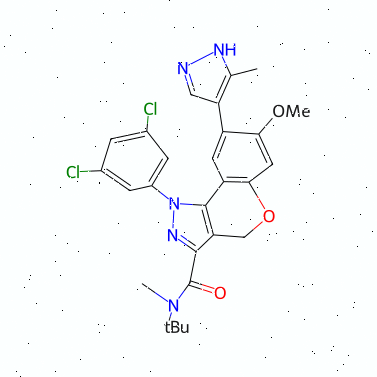 COc1cc2c(cc1-c1cn[nH]c1C)-c1c(c(C(=O)N(C)C(C)(C)C)nn1-c1cc(Cl)cc(Cl)c1)CO2